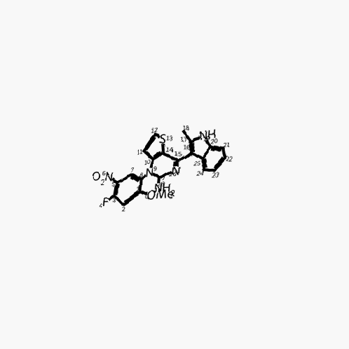 COc1cc(F)c([N+](=O)[O-])cc1N1c2ccsc2C(c2c(C)[nH]c3ccccc23)=NC1N